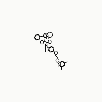 Cc1cc(C)nc(OCCOc2ccc(NC(=O)C(=O)c3c(-c4ccccc4)cc4n3CCCC4)cc2)c1